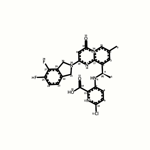 Cc1cc([C@@H](C)Nc2ccc(Cl)nc2C(=O)O)c2nc(N3Cc4ccc(F)c(F)c4C3)cc(=O)n2c1